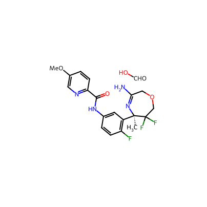 COc1ccc(C(=O)Nc2ccc(F)c([C@@]3(C)N=C(N)COCC3(F)F)c2)nc1.O=CO